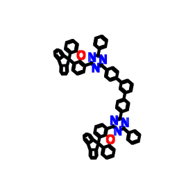 c1ccc(-c2nc(-c3ccc(-c4cccc(-c5ccc(-c6nc(-c7ccccc7)nc(-c7cccc8c7Oc7ccccc7C87c8ccccc8-c8ccccc87)n6)cc5)c4)cc3)nc(-c3cccc4c3Oc3ccccc3C43c4ccccc4-c4ccccc43)n2)cc1